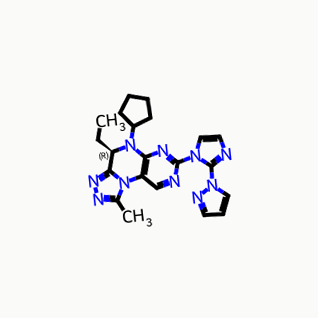 CC[C@@H]1c2nnc(C)n2-c2cnc(-n3ccnc3-n3cccn3)nc2N1C1CCCC1